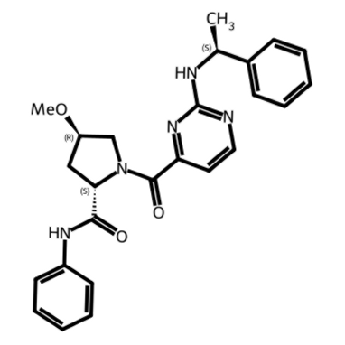 CO[C@@H]1C[C@@H](C(=O)Nc2ccccc2)N(C(=O)c2ccnc(N[C@@H](C)c3ccccc3)n2)C1